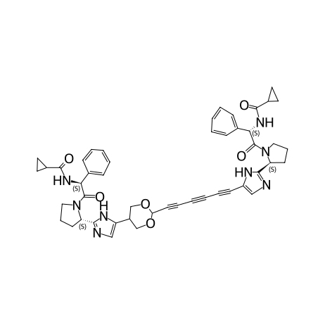 O=C(N[C@H](C(=O)N1CCC[C@H]1c1ncc(C#CC#CC#CC2OCC(c3cnc([C@@H]4CCCN4C(=O)[C@@H](NC(=O)C4CC4)c4ccccc4)[nH]3)CO2)[nH]1)c1ccccc1)C1CC1